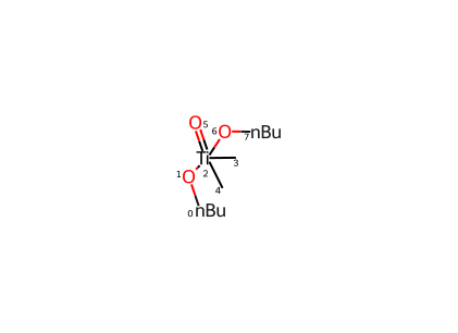 CCCC[O][Ti]([CH3])([CH3])(=[O])[O]CCCC